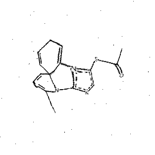 CC(=O)Sc1cnc2n1C1=CCC=CC13C=CC=C(C)N23